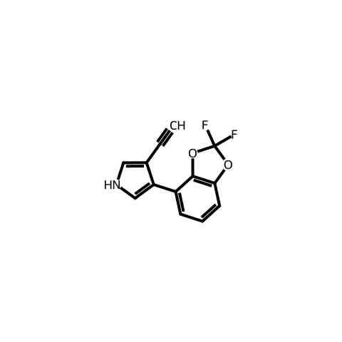 C#Cc1c[nH]cc1-c1cccc2c1OC(F)(F)O2